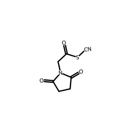 N#CSC(=O)CN1C(=O)CCC1=O